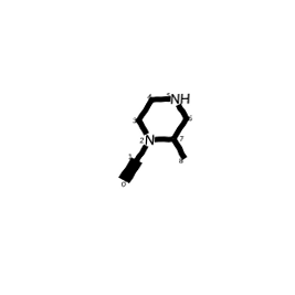 C#CN1CCNCC1C